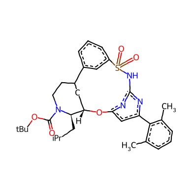 Cc1cccc(C)c1-c1cc2nc(n1)NS(=O)(=O)c1cccc(c1)C1CCN(C(=O)OC(C)(C)C)[C@H](CC(C)C)[C@H](C1)O2